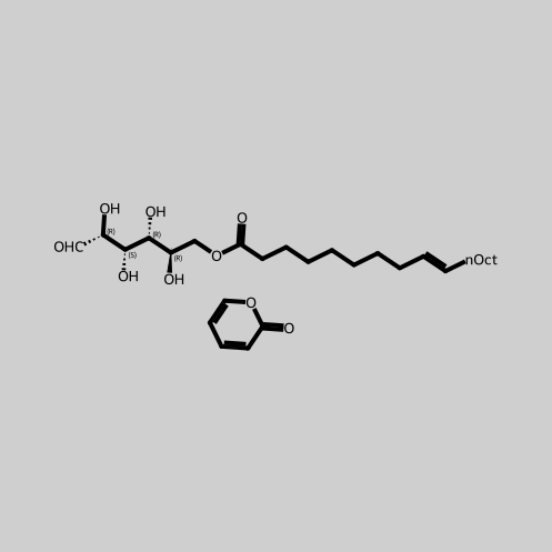 CCCCCCCCC=CCCCCCCCC(=O)OC[C@@H](O)[C@@H](O)[C@H](O)[C@@H](O)C=O.O=c1cccco1